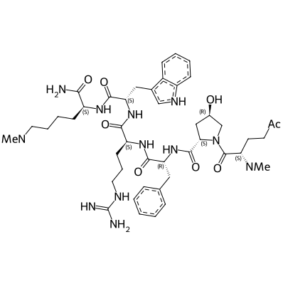 CNCCCC[C@H](NC(=O)[C@H](Cc1c[nH]c2ccccc12)NC(=O)[C@H](CCCNC(=N)N)NC(=O)[C@@H](Cc1ccccc1)NC(=O)[C@@H]1C[C@@H](O)CN1C(=O)[C@H](CCC(C)=O)NC)C(N)=O